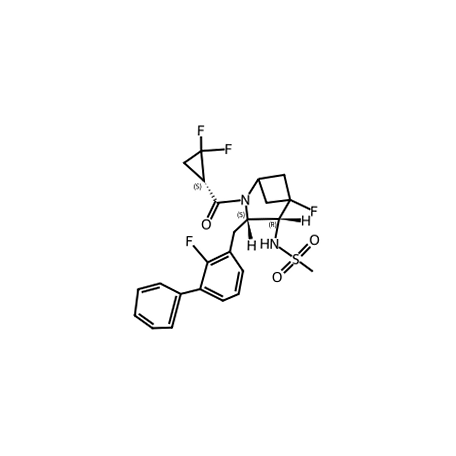 CS(=O)(=O)N[C@@H]1[C@H](Cc2cccc(-c3ccccc3)c2F)N(C(=O)[C@@H]2CC2(F)F)C2CC1(F)C2